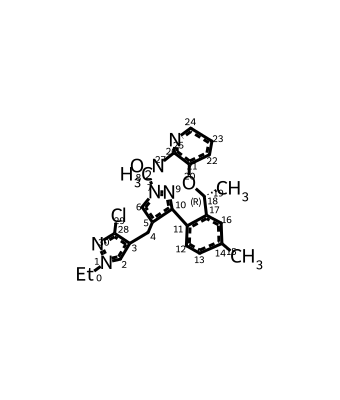 CCn1cc(Cc2cn(C)nc2-c2ccc(C)cc2[C@@H](C)Oc2cccnc2[N+](=O)[O-])c(Cl)n1